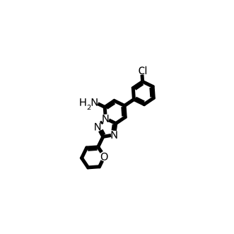 Nc1cc(-c2cccc(Cl)c2)cc2nc(C3=CCCCO3)nn12